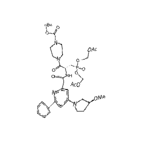 CCCCOC(=O)N1CCN(C(=O)[C@H](CP(=O)(OCOC(C)=O)OCOC(C)=O)NC(=O)c2cc(N3CC[C@H](OC)C3)cc(-c3ccccc3)n2)CC1